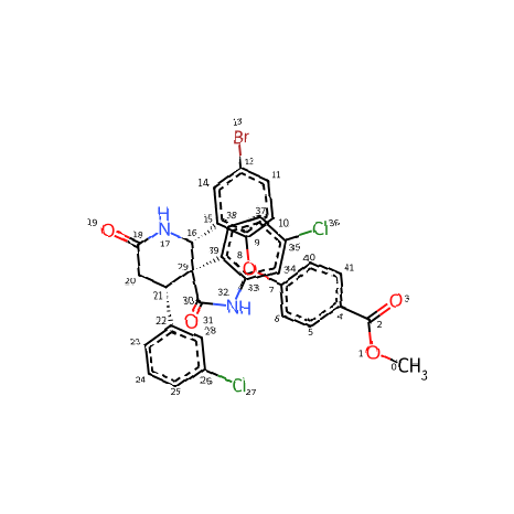 COC(=O)c1ccc(Oc2ccc(Br)cc2[C@H]2NC(=O)C[C@@H](c3cccc(Cl)c3)[C@]23C(=O)Nc2cc(Cl)ccc23)cc1